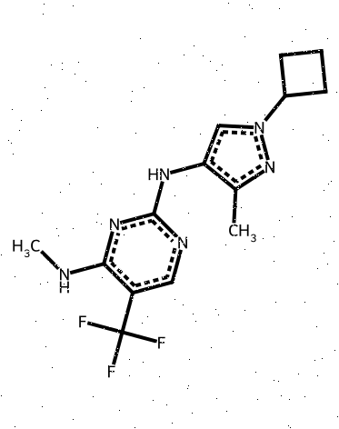 CNc1nc(Nc2cn(C3CCC3)nc2C)ncc1C(F)(F)F